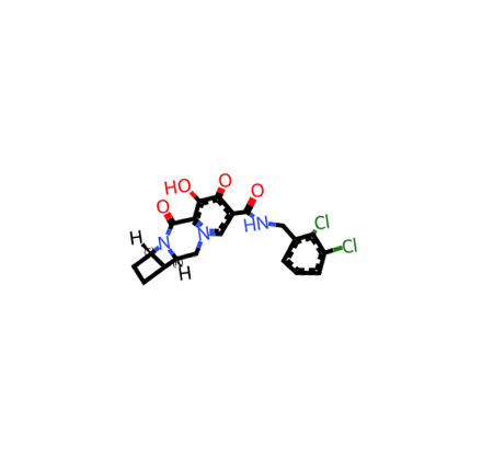 O=C(NCc1cccc(Cl)c1Cl)c1cn2c(c(O)c1=O)C(=O)N1[C@H]3CCC3[C@@H]1C2